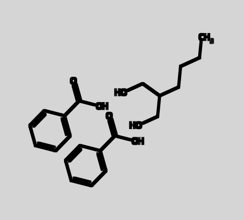 CCCCC(CO)CO.O=C(O)c1ccccc1.O=C(O)c1ccccc1